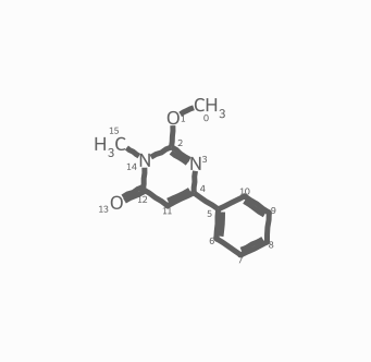 COc1nc(-c2ccccc2)cc(=O)n1C